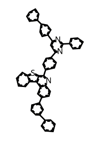 c1ccc(-c2ccc(-c3cc(-c4ccc(-c5nc6ccc(-c7cccc(-c8ccccc8)c7)cc6c6c5sc5ccccc56)cc4)nc(-c4ccccc4)n3)cc2)cc1